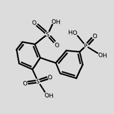 O=P(O)(O)c1cccc(-c2c(S(=O)(=O)O)[c]ccc2S(=O)(=O)O)c1